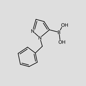 OB(O)c1ccnn1Cc1ccccc1